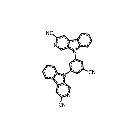 N#Cc1cc(-n2c3ccccc3c3cc(C#N)ncc32)cc(-n2c3ccccc3c3cc(C#N)ncc32)c1